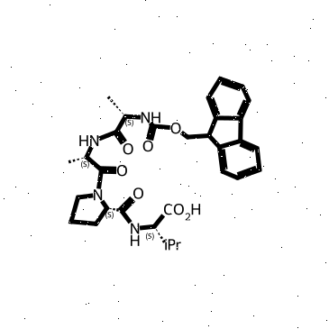 CC(C)[C@H](NC(=O)[C@@H]1CCCN1C(=O)[C@H](C)NC(=O)[C@H](C)NC(=O)OCC1c2ccccc2-c2ccccc21)C(=O)O